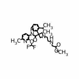 COC(=O)CNCCN1CC(C(=O)Nc2ccc(C)nc2OC(F)F)(c2ccccc2C(C)C)C1